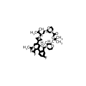 Cc1nc(F)c2c(-c3ccc(F)cc3C(=O)N3CCOC[C@H]3C)cc(C3CN([C@H](CC[C@H]4CN(C(=O)OC(C)(C)C)CCO4)C(C)C)C3)cn12